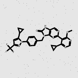 COc1ncnc(C2CC2)c1-c1ncc2[nH]c(=O)n(Cc3ccc(-n4nc(C(F)(F)F)cc4C4CC4)cc3)c2n1